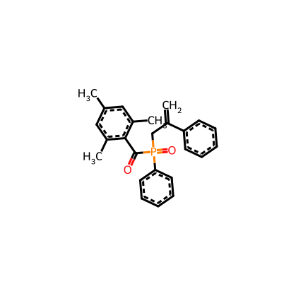 C=C(CP(=O)(C(=O)c1c(C)cc(C)cc1C)c1ccccc1)c1ccccc1